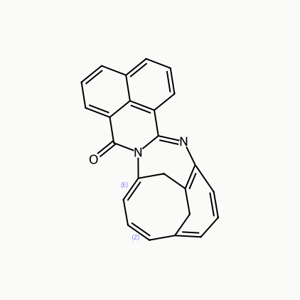 O=c1c2cccc3cccc(c4n1/C1=C/C=C\C5=CC=CC(=C(C5)C1)N=4)c32